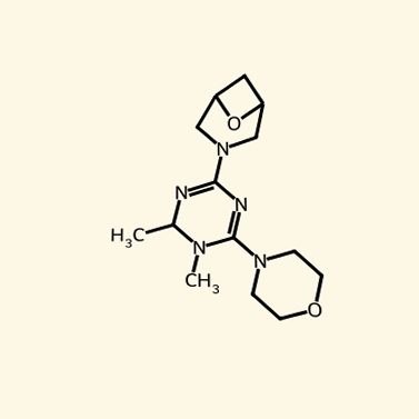 CC1N=C(N2CC3CC(C2)O3)N=C(N2CCOCC2)N1C